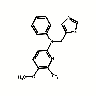 COc1ccc(N(Cc2cncs2)c2ccccc2)nc1C